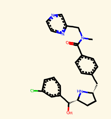 CN(Cc1cnccn1)C(=O)c1ccc(C[C@@H]2CC[C@H](C(O)c3cccc(Cl)c3)N2)cc1